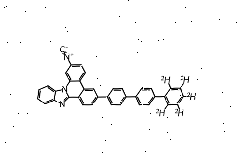 [2H]c1c([2H])c([2H])c(-c2ccc(-c3ccc(-c4ccc5c(c4)c4ccc([N+]#[C-])cc4n4c6ccccc6nc54)cc3)cc2)c([2H])c1[2H]